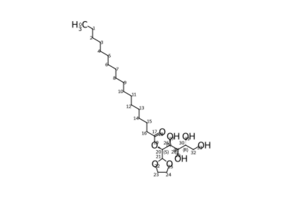 CCCCCCCCCCCCCCCCCC(=O)O[C@H](C1OCCO1)[C@@H](O)[C@H](O)[C@H](O)CO